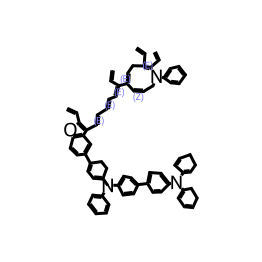 C=CC(=C\C=C\C=C\c1c(C=C)oc2ccc(C3=CC=C(N(c4ccccc4)c4ccc(-c5ccc(N(C6=CCCC=C6)C6=CC=CCC6)cc5)cc4)CC3)cc12)/C1=C/C/C(C=C)=C(/C=C)N(c2ccccc2)C/C=C\1